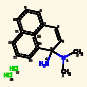 CN(C)C1(N)C=Cc2cccc3cccc1c23.Cl.Cl